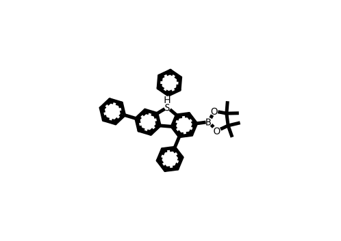 CC1(C)OB(c2cc(-c3ccccc3)c3c(c2)[SH](c2ccccc2)c2cc(-c4ccccc4)ccc2-3)OC1(C)C